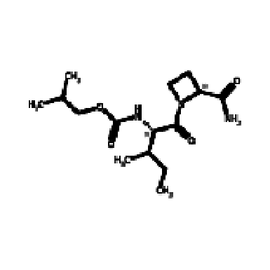 CCC(C)[C@H](NC(=O)OCC(C)C)C(=O)N1CC[C@H]1C(N)=O